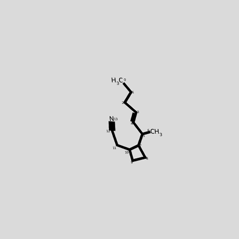 CCC/C=C/C(C)C1CCC1CC#N